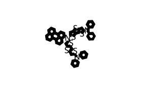 C1=CC(N(c2ccccc2)c2cc3sc4cc(N(c5cc6sc7cc(N(c8ccccc8)c8ccccc8)sc7c6s5)c5ccc6c7cccc8cccc(c9cccc5c96)c87)sc4c3s2)=CCC1